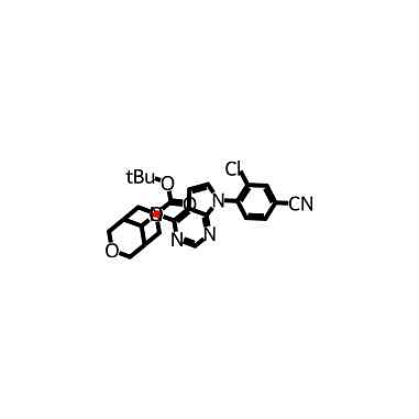 CC(C)(C)OC(=O)N1CC2COCC(C1)C2Oc1ncnc2c1ccn2-c1ccc(C#N)cc1Cl